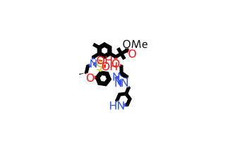 COC(=O)C(C)(C)C(OCc1cn(CC2CCNCC2)nn1)c1ccc(C)c(CN2C[C@@H](C)Oc3ccccc3S2(O)O)c1